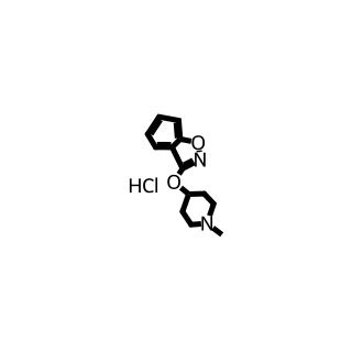 CN1CCC(Oc2noc3ccccc23)CC1.Cl